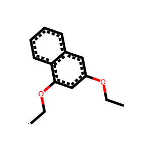 [CH2]COc1cc(OCC)cc2ccccc12